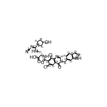 N#C/N=C(\NC[C@H](NC(=O)c1c(Cl)cc2c(=O)n(Cc3ccc4cn[nH]c4c3)cnc2c1Cl)C(=O)O)N1CC[C@H](O)C1